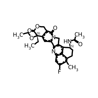 CCO[C@]1(CC)C(=O)OCc2c1cc1n(c2=O)Cc2c-1nc1cc(F)c(C)c3c1c2[C@@H](NC(C)=O)CC3